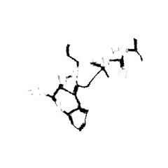 CCCn1nc2c(N)nc3ccccc3c2c1CC(C)(C)NC(=O)NC(C)C